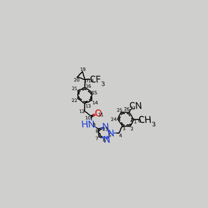 Cc1cc(Cn2ncc(NC(=O)Cc3ccc(C4(C(F)(F)F)CC4)cc3)n2)ccc1C#N